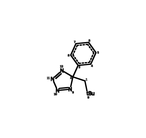 CC(C)(C)CC1(c2ccccc2)N=NN=N1